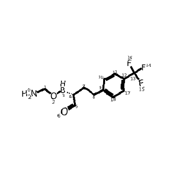 NCOB[C@@H](C=O)CCc1ccc(C(F)(F)F)cc1